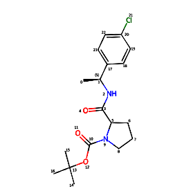 C[C@H](NC(=O)C1CCCN1C(=O)OC(C)(C)C)c1ccc(Cl)cc1